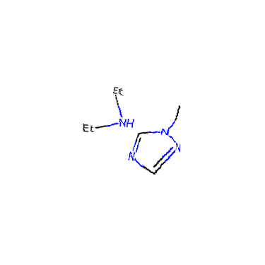 CCNCC.Cn1cncn1